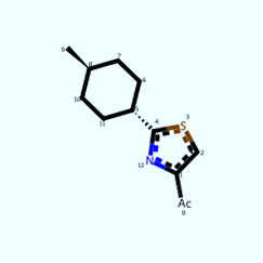 CC(=O)c1csc([C@H]2CC[C@H](C)CC2)n1